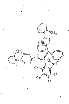 CC1CCCCN1c1ccc(C(=CC2(C=C(c3ccccc3)c3ccc(N4CCCCC4C)cc3)OC(=O)c3c(Cl)c(Cl)c(Cl)c(Cl)c32)c2ccccc2)cc1